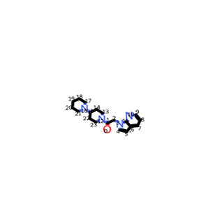 O=C(Cn1c[c]c2cccnc21)N1CCC(N2CCCCC2)CC1